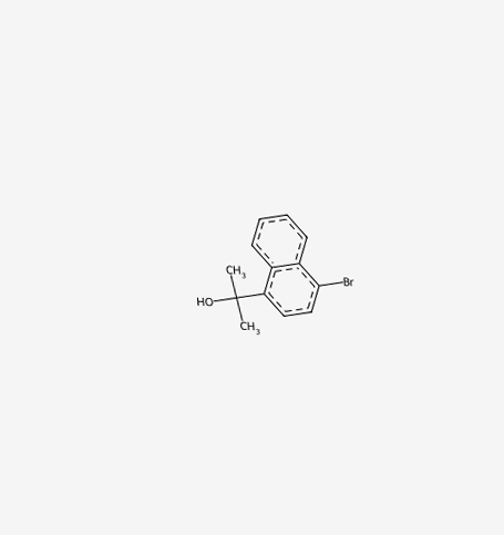 CC(C)(O)c1ccc(Br)c2ccccc12